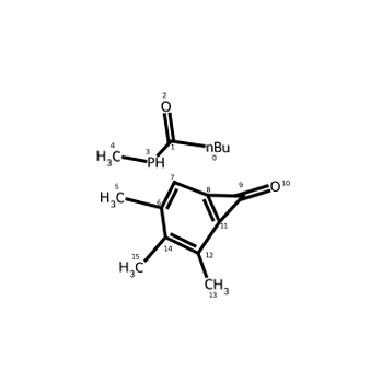 CCCCC(=O)PC.Cc1cc2c(=O)c2c(C)c1C